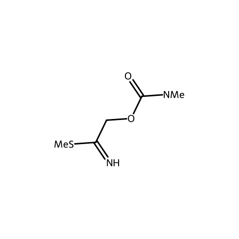 CNC(=O)OCC(=N)SC